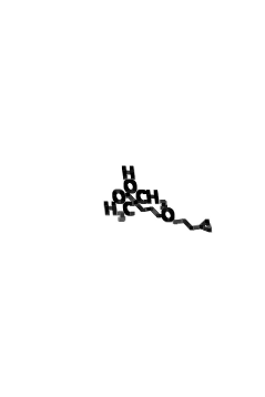 CC(C)(CCCOCCCC1CC1)C(=O)O